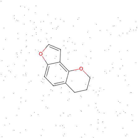 c1cc2c3c(ccc2o1)CCCO3